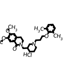 COc1cc2c(cc1OC)C(=O)N(CC1CCCN(CCCOc3c(C)cccc3C)C1)CC2.Cl